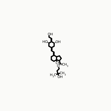 C[C@@H](OCCC(C)(C)O)C1CCC2/C(=C/C=C3C[C@@H](O)C(=CCO)[C@H](O)C3)CCCC21C